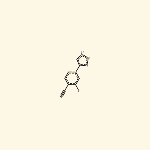 N#Cc1ccc(-c2c[nH]nn2)cc1F